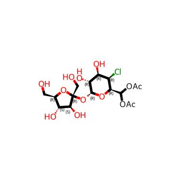 CC(=O)OC(OC(C)=O)[C@H]1O[C@H](O[C@@]2(CO)O[C@H](CO)[C@@H](O)[C@@H]2O)[C@H](O)[C@@H](O)[C@H]1Cl